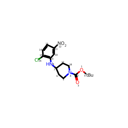 CC(C)(C)OC(=O)N1CCC(Nc2cc([N+](=O)[O-])ccc2Cl)CC1